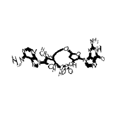 C[C@@]1(F)C(n2cnc3c(N)ncnc32)O[C@@H]2COP(=O)(O)O[C@@H]3CC(OCC[C@H]21)OC3n1cnc2c(=O)[nH]c(N)nc21